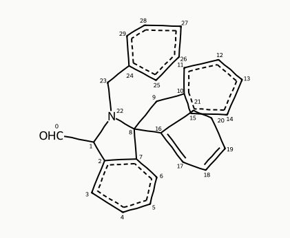 O=CC1c2ccccc2C(Cc2ccccc2)(C2=CC=CCC2)N1Cc1ccccc1